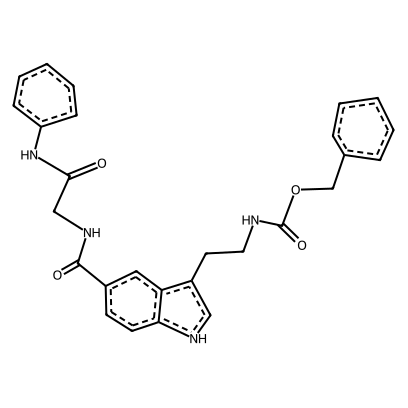 O=C(CNC(=O)c1ccc2[nH]cc(CCNC(=O)OCc3ccccc3)c2c1)Nc1ccccc1